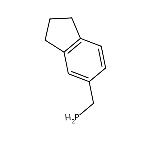 PCc1ccc2c(c1)CCC2